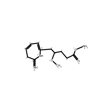 COC(CCC(=O)ON)CC1=CC=CCC(=N)N1